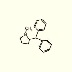 CN1CCCC1C(c1ccccc1)c1ccccc1